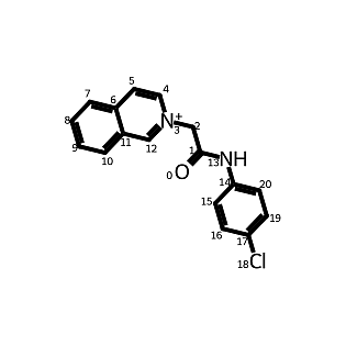 O=C(C[n+]1ccc2ccccc2c1)Nc1ccc(Cl)cc1